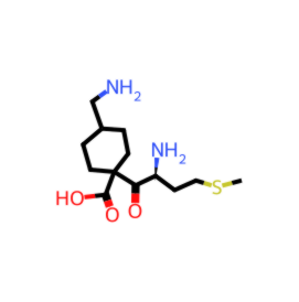 CSCC[C@H](N)C(=O)C1(C(=O)O)CCC(CN)CC1